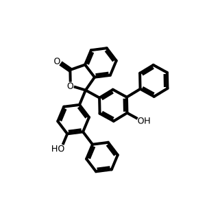 O=C1OC(c2ccc(O)c(-c3ccccc3)c2)(c2ccc(O)c(-c3ccccc3)c2)c2ccccc21